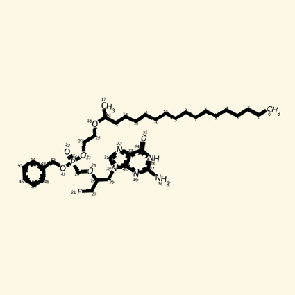 CCCCCCCCCCCCCCCCC(C)OCCOP(=O)(COC(CF)Cn1cnc2c(=O)[nH]c(N)nc21)OCc1ccccc1